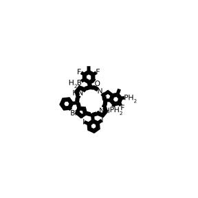 Bc1ccccc1-c1c2cc(c(-c3c(I)cccc3I)c3ccc([nH]3)c3c(nc4oc5c(F)c(C)c(F)c(B)c5c4c4ccc1[nH]4)Cc1c(C)c(P)c(F)c(P)c1-3)C=C2